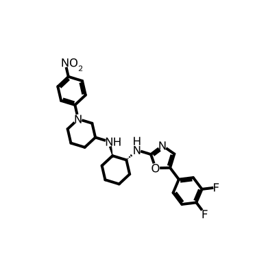 O=[N+]([O-])c1ccc(N2CCCC(N[C@@H]3CCCC[C@H]3Nc3ncc(-c4ccc(F)c(F)c4)o3)C2)cc1